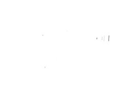 CC1CCC2CC3(C)CCC4C3C1(CCC4(C)O)C2(C)C